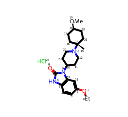 CCOc1ccc2[nH]c(=O)n(C3CCN([C@]4(C)CC[C@@H](OC)CC4)CC3)c2c1.Cl